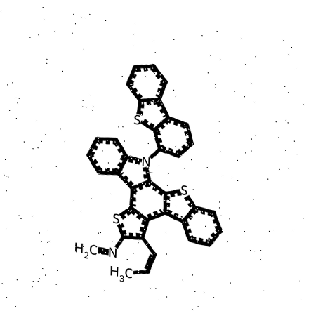 C=Nc1sc2c(c1/C=C\C)c1c3ccccc3sc1c1c2c2ccccc2n1-c1cccc2c1sc1ccccc12